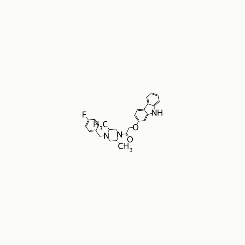 C[C@@H]1CN(Cc2ccc(F)cc2)[C@@H](C)CN1C(=O)COc1ccc2c(c1)[nH]c1ccccc12